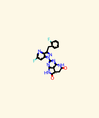 C[C@]12CC(=O)Nc3nc(-n4nc(Cc5ccccc5F)c5ncc(F)cc54)nc(c31)NC2=O